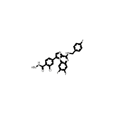 CCCCNC(=O)c1ccc(-c2cnc3c(NCc4ccc(F)cc4)nc4cc(F)c(F)cc4n23)cc1Cl